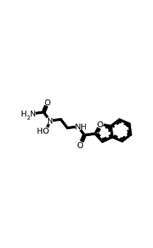 NC(=O)N(O)CCNC(=O)c1cc2ccccc2o1